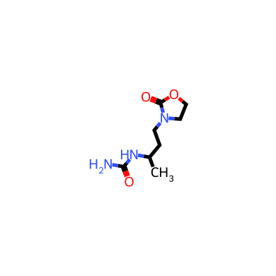 CC(CCN1CCOC1=O)NC(N)=O